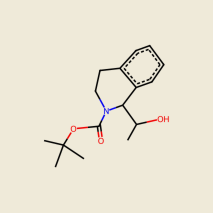 CC(O)C1c2ccccc2CCN1C(=O)OC(C)(C)C